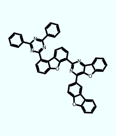 c1ccc(-c2nc(-c3ccccc3)nc(-c3cccc4oc5c(-c6nc(-c7ccc8oc9ccccc9c8c7)c7oc8ccccc8c7n6)cccc5c34)n2)cc1